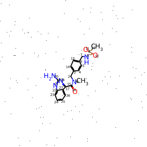 CN(Cc1ccc(CNS(C)(=O)=O)cc1)C(=O)c1nc(N)nc2ccccc12